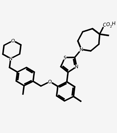 Cc1ccc(OCc2ccc(CN3CCOCC3)cc2C)c(-c2csc(N3CCCC(C)(C(=O)O)CC3)n2)c1